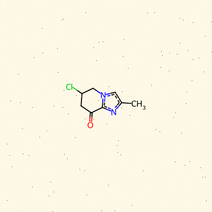 Cc1cn2c(n1)C(=O)CC(Cl)C2